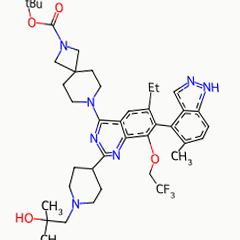 CCc1cc2c(N3CCC4(CC3)CN(C(=O)OC(C)(C)C)C4)nc(C3CCN(CC(C)(C)O)CC3)nc2c(OCC(F)(F)F)c1-c1c(C)ccc2[nH]ncc12